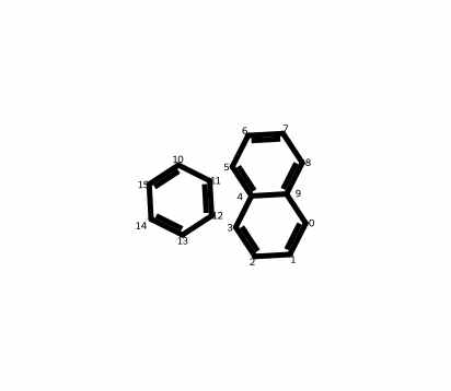 [c]1cccc2ccccc12.c1ccccc1